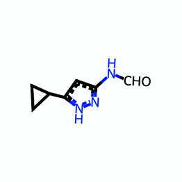 O=CNc1cc(C2CC2)[nH]n1